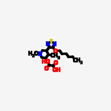 CCCCCCOc1nsnc1C1CN(C)CCC1C.O=C(O)C(=O)O